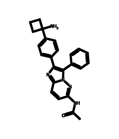 CC(=O)Nc1ccc2nc(-c3ccc(C4(N)CCC4)cc3)c(-c3ccccc3)n2n1